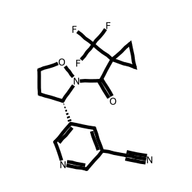 N#Cc1cncc([C@@H]2CCON2C(=O)C2(C(F)(F)F)CC2)c1